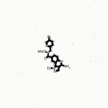 CCn1ncc2c(N)nc3ccc(C(=O)N(Cc4ccc(Br)cn4)OC)cc3c21